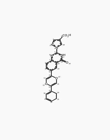 O=C(O)c1cnn(-c2nc3ccc(C4=COC(C5=CC=CCC5)=CO4)cc3c(=O)[nH]2)c1